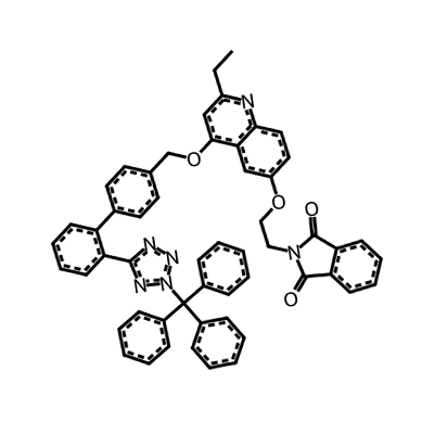 CCc1cc(OCc2ccc(-c3ccccc3-c3nnn(C(c4ccccc4)(c4ccccc4)c4ccccc4)n3)cc2)c2cc(OCCN3C(=O)c4ccccc4C3=O)ccc2n1